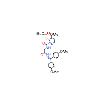 COc1ccc(C(=NNC(=O)[C@H](C)NC(=O)c2nccc(OC)c2OC(=O)OCC(C)C)c2ccc(OC)cc2)cc1